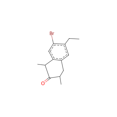 CCc1cc2c(cc1Br)C(C)C(=O)C(C)C2